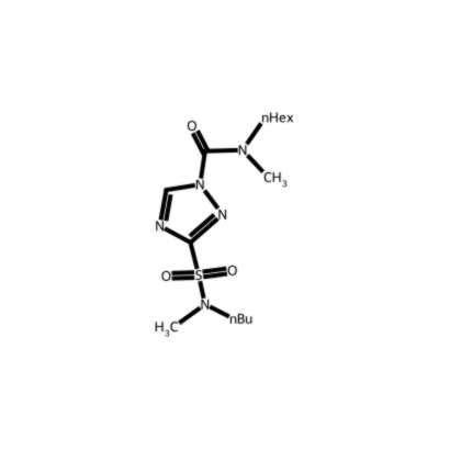 CCCCCCN(C)C(=O)n1cnc(S(=O)(=O)N(C)CCCC)n1